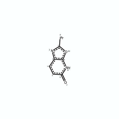 CC(C)c1nc2ccc(=O)[nH]c2o1